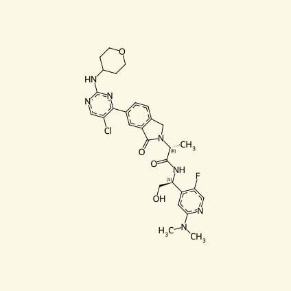 C[C@H](C(=O)N[C@H](CO)c1cc(N(C)C)ncc1F)N1Cc2ccc(-c3nc(NC4CCOCC4)ncc3Cl)cc2C1=O